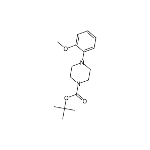 COc1ccccc1N1CCN(C(=O)OC(C)(C)C)CC1